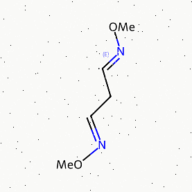 CON=CC/[C]=N/OC